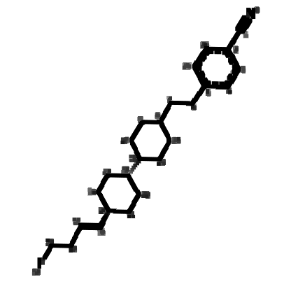 N#Cc1ccc(CCC2CCC([C@H]3CC[C@H](/C=C/CCF)CC3)CC2)cc1